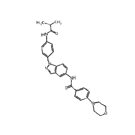 CC(C)C(=O)Nc1ccc(-n2ncc3cc(NC(=O)c4ccc(N5CCOCC5)cc4)ccc32)cc1